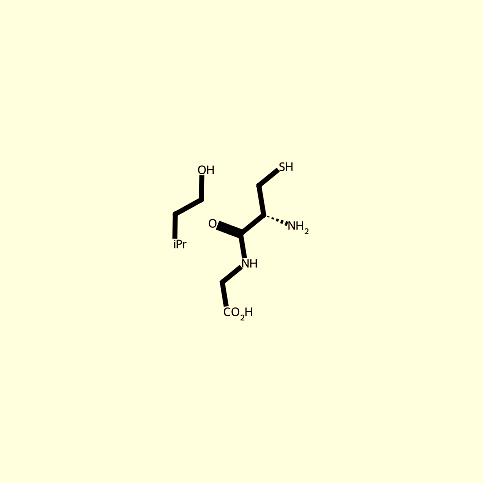 CC(C)CCO.N[C@@H](CS)C(=O)NCC(=O)O